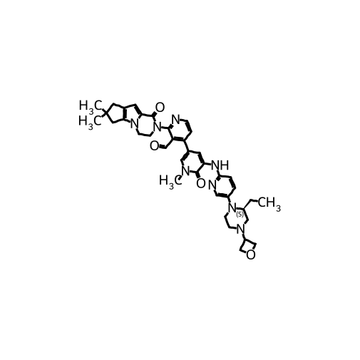 CC[C@H]1CN(C2COC2)CCN1c1ccc(Nc2cc(-c3ccnc(N4CCn5c(cc6c5CC(C)(C)C6)C4=O)c3C=O)cn(C)c2=O)nc1